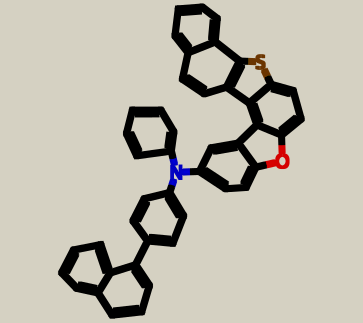 c1ccc(N(c2ccc(-c3cccc4ccccc34)cc2)c2ccc3oc4ccc5sc6c7ccccc7ccc6c5c4c3c2)cc1